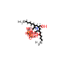 CCCCCCCCC(CO)(CCCCCCCC)N(CCO)CCO.O=P(O)(O)OP(=O)(O)O